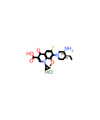 CC[C@H]1CCN(c2c(F)cc3c(=O)c(C(=O)O)cn(C4CC4)c3c2OC)C[C@@H]1N.Cl